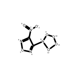 O=[N+]([O-])c1nonc1-n1oooo1